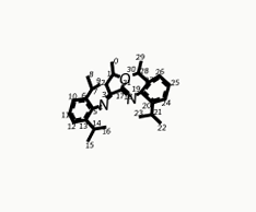 CC1CC(=Nc2c(C(C)C)cccc2C(C)C)C(=Nc2c(C(C)C)cccc2C(C)C)O1